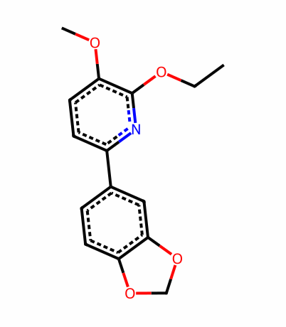 CCOc1nc(-c2ccc3c(c2)OCO3)ccc1OC